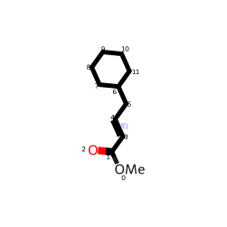 COC(=O)/C=C/CC1CCCCC1